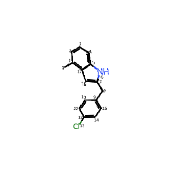 Cc1cccc2[nH]c(Cc3ccc(Cl)cc3)cc12